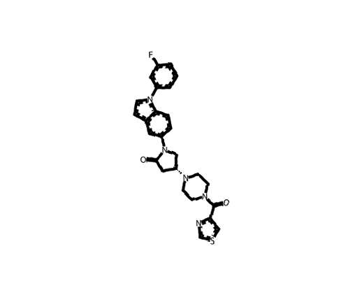 O=C(c1cscn1)N1CCN([C@@H]2CC(=O)N(c3ccc4c(ccn4-c4cccc(F)c4)c3)C2)CC1